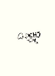 C=CC(OC=O)C1C=CCCC1